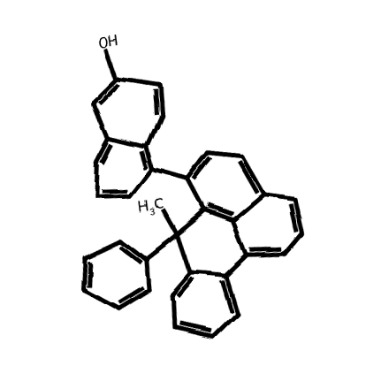 CC1(c2ccccc2)c2ccccc2-c2cccc3ccc(-c4cccc5cc(O)ccc45)c1c23